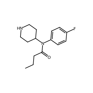 CCCC(=O)N(c1ccc(F)cc1)C1CCNCC1